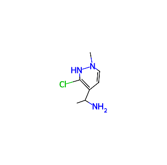 CC(N)C1=C(Cl)NN(C)C=C1